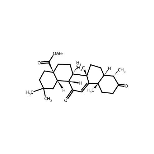 COC(=O)[C@]12CCC(C)(C)C[C@H]1[C@H]1C(=O)C=C3[C@@]4(C)CCC(=O)[C@@H](C)[C@@H]4CC[C@@]3(C)[C@]1(C)CC2